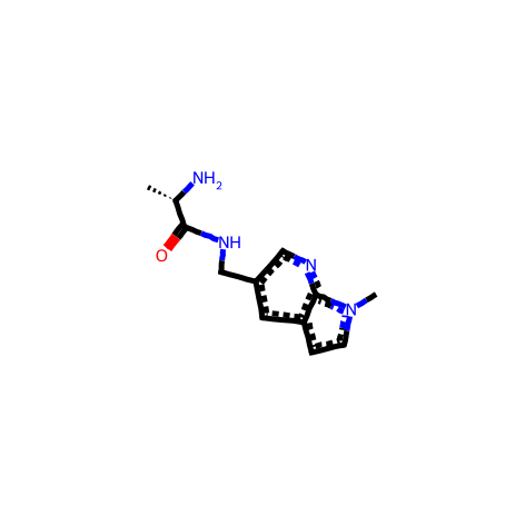 C[C@H](N)C(=O)NCc1cnc2c(ccn2C)c1